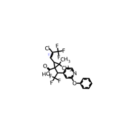 CC1(C)C(/C=C(/Cl)C(F)(F)F)C1(C(=O)O)C(c1ccnc(Oc2ccccc2)c1)C(F)(F)F